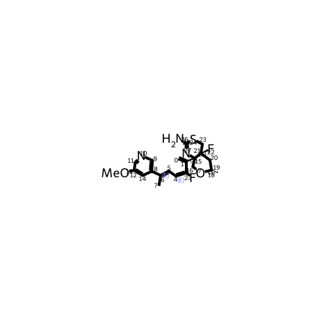 C=C(/C(F)=C\C=C(/C)c1cncc(OC)c1)[C@]12CO[C@@H](C)C[C@@]1(F)CSC(N)=N2